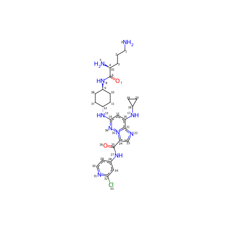 NCCC[C@H](N)C(=O)N[C@H]1CC[C@H](Nc2cc(NC3CC3)c3ncc(C(=O)Nc4ccnc(Cl)c4)n3n2)CC1